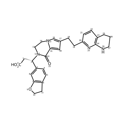 O=C(O)C[C@@H](c1ccc2c(c1)OCC2)N1CCn2cc(CCc3ccc4c(n3)NCCC4)cc2C1=O